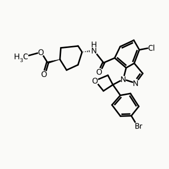 COC(=O)[C@H]1CC[C@H](NC(=O)c2ccc(Cl)c3cnn(C4(c5ccc(Br)cc5)COC4)c23)CC1